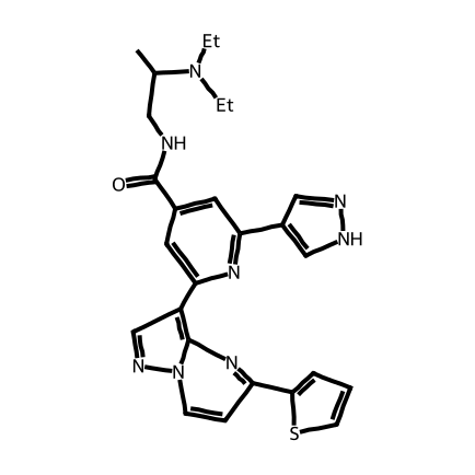 CCN(CC)C(C)CNC(=O)c1cc(-c2cn[nH]c2)nc(-c2cnn3ccc(-c4cccs4)nc23)c1